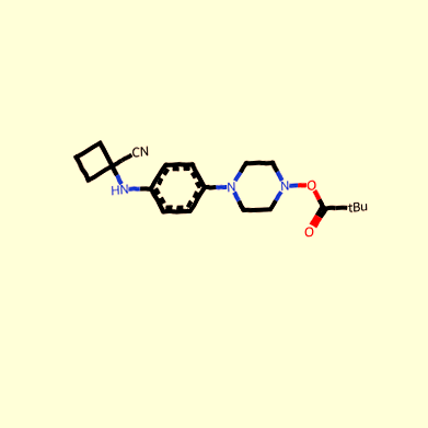 CC(C)(C)C(=O)ON1CCN(c2ccc(NC3(C#N)CCC3)cc2)CC1